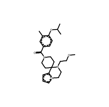 COCCN1CCn2cccc2C12CCN(C(=O)c1ccc(OC(C)C)c(C)c1)CC2